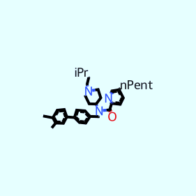 CCCCCc1ccc(C(=O)N(Cc2ccc(-c3ccc(C)c(C)c3)cc2)C2CCN(CCC(C)C)CC2)nc1